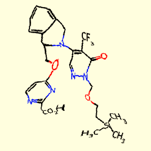 C[Si](C)(C)CCOCn1ncc(N2Cc3ccccc3C2COc2ccnc(C(=O)O)n2)c(C(F)(F)F)c1=O